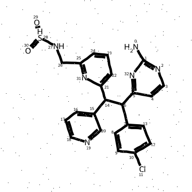 Nc1nccc(C(c2ccc(Cl)cc2)C(c2cccnc2)c2cccc(CN[SH](=O)=O)n2)n1